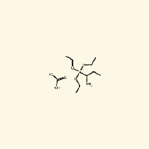 CCO[Si](OCC)(OCC)C(N)CC.O=C(O)O